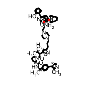 Cc1ncsc1-c1ccc([C@H](C)NC(=O)[C@@H]2CCCN2C(=O)C(c2cc(CCCN3CCN(CCOc4cc(N5C6CCC5CN(c5cc(-c7ccccc7O)nnc5N)C6)ccn4)CC3)no2)C(C)C)cc1